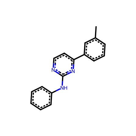 Cc1cccc(-c2ccnc(Nc3ccccc3)n2)c1